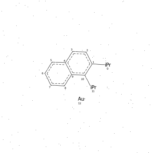 CC(C)c1ccc2ccccc2c1C(C)C.[Au]